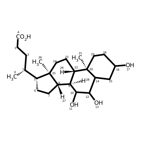 C[C@H](CCC(=O)O)[C@H]1CC[C@H]2[C@@H]3C(O)C(O)C4CC(O)CC[C@]4(C)[C@H]3CC[C@]12C